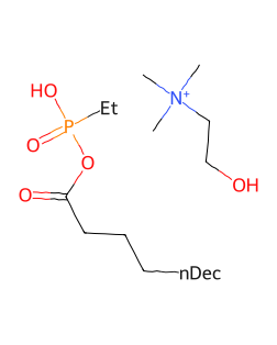 CCCCCCCCCCCCCC(=O)OP(=O)(O)CC.C[N+](C)(C)CCO